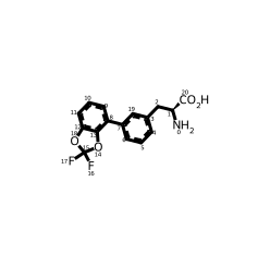 N[C@@H](Cc1cccc(-c2cccc3c2OC(F)(F)O3)c1)C(=O)O